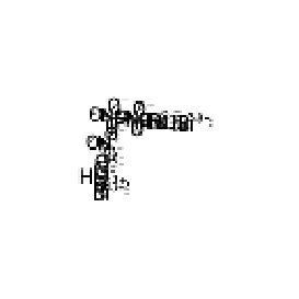 O.O=[N+]([O-])[O-].O=[N+]([O-])[O-].O=[N+]([O-])[O-].[Bi+3].[Bi+3].[Bi+3].[Bi+3].[O-2].[O-2].[O-2].[OH-].[OH-].[OH-]